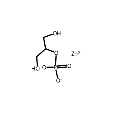 O=P([O-])([O-])OC(CO)CO.[Zn+2]